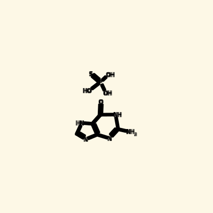 Nc1nc2nc[nH]c2c(=O)[nH]1.OP(O)(O)=S